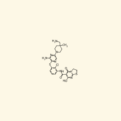 CC1(CN)CCN(c2cnc(Sc3cccc(NC(=O)c4c(O)nc5n(c4=O)CCS5)c3Cl)c(N)n2)CC1